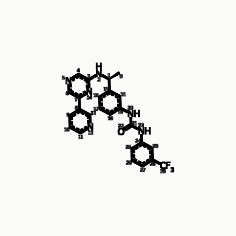 C[C@H](Nc1cncc(-c2cccnc2)n1)c1cccc(NC(=O)Nc2cccc(C(F)(F)F)c2)c1